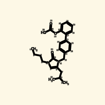 CCCCn1cc(CC(C)C)n(Cc2ccc(-c3ccccc3OC(=O)O)cc2)c1=O